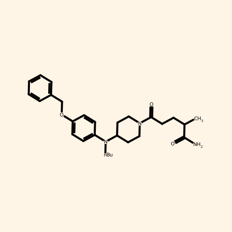 CCCCN(c1ccc(OCc2ccccc2)cc1)C1CCN(C(=O)[CH]CC(C)C(N)=O)CC1